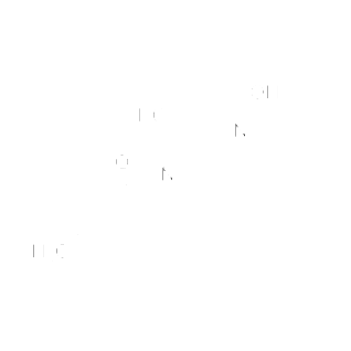 Cc1ccc(C(=O)CN2CCC(CN3Cc4ccccc4C3O)CC2)cc1.Cl